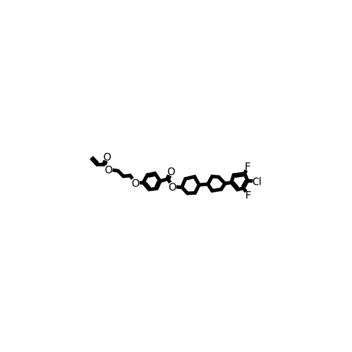 C=CC(=O)OCCCOc1ccc(C(=O)OC2CCC(C3CCC(c4cc(F)c(Cl)c(F)c4)CC3)CC2)cc1